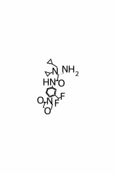 NC[C@H](C(=O)Nc1ccc(N2CCOCC2=O)c(C(F)F)c1)N(CC1CC1)C1CC1